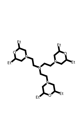 CCC1CN(CCN(CCN2CC(CC)OC(CC)C2)CCN2CC(CC)OC(CC)C2)CC(CC)O1